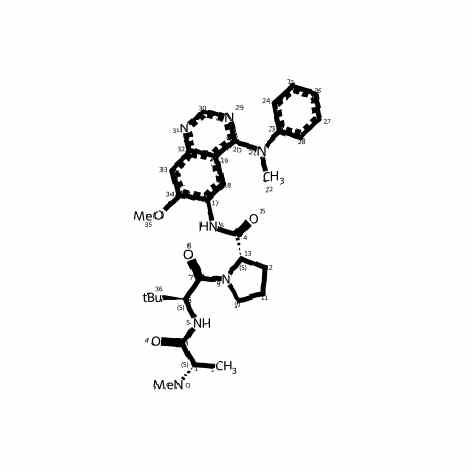 CN[C@@H](C)C(=O)N[C@H](C(=O)N1CCC[C@H]1C(=O)Nc1cc2c(N(C)c3ccccc3)ncnc2cc1OC)C(C)(C)C